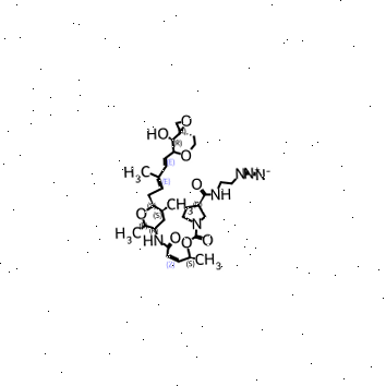 CC(/C=C/C1OCC[C@@]2(CO2)[C@@H]1O)=C\C[C@@H]1O[C@H](C)[C@H](NC(=O)/C=C\[C@H](C)OC(=O)N2CC[C@@H](C(=O)NCCN=[N+]=[N-])C2)C[C@@H]1C